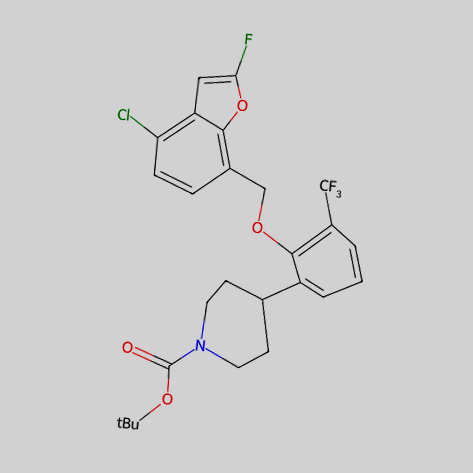 CC(C)(C)OC(=O)N1CCC(c2cccc(C(F)(F)F)c2OCc2ccc(Cl)c3cc(F)oc23)CC1